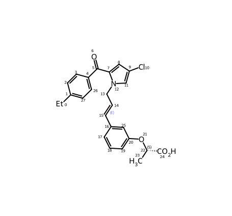 CCc1ccc(C(=O)c2cc(Cl)cn2C/C=C/c2cccc(O[C@@H](C)C(=O)O)c2)cc1